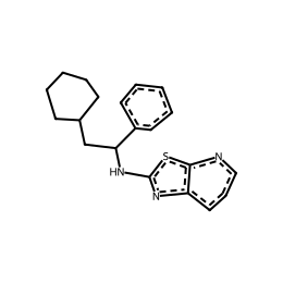 c1ccc(C(CC2CCCCC2)Nc2nc3cccnc3s2)cc1